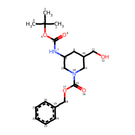 CC(C)(C)OC(=O)NC1CC(CO)CN(C(=O)OCc2ccccc2)C1